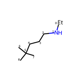 CCNCCCC(C)(C)C